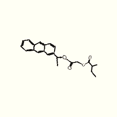 CCC(C)C(=O)OCC(=O)OC(C)c1ccc2cc3ccccc3cc2c1